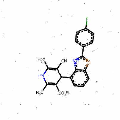 CCOC(=O)C1=C(C)NC(C)=C(C#N)C1c1cccc2sc(-c3ccc(F)cc3)nc12